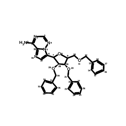 Nc1ncnn2c(C3OC(COCc4ccccc4)[C@@H](OCc4ccccc4)[C@H]3OCc3ccccc3)cnc12